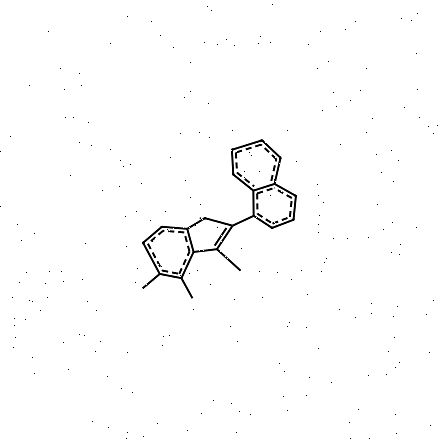 CC1=C(c2cccc3ccccc23)[CH]c2ccc(C)c(C)c21